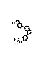 CC(C)Oc1ccc(-n2cnc3ccc(-c4ccc5[nH]ccc5c4)cc32)cc1